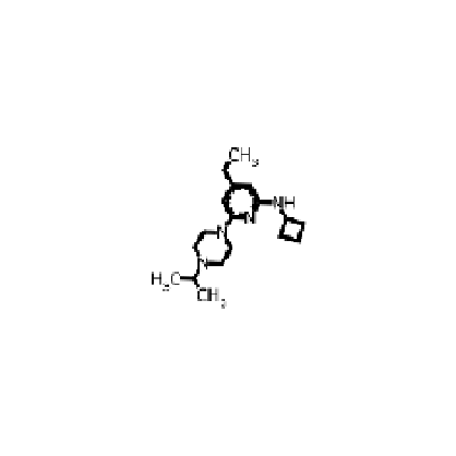 CCc1cc(NC2CCC2)nc(N2CCN(C(C)C)CC2)c1